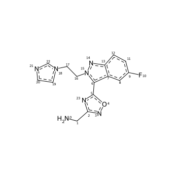 NCc1noc(-c2c3cc(F)ccc3nn2CCn2ccnc2)n1